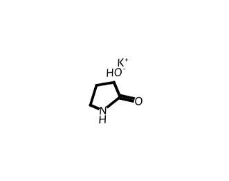 O=C1CCCN1.[K+].[OH-]